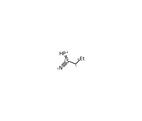 CCCS(#N)=P